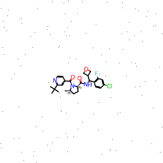 C[C@@H]1CC[C@H](C(=O)N[C@@H](c2ccc(Cl)cc2F)C2COC2)N1C(=O)c1ccnc(C(C)(C)C)c1